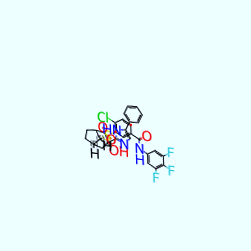 O=C(Nc1cc(F)c(F)c(F)c1)c1ccc(Cl)c(S(=O)(=O)[C@H]2C3CC[C@H]2C[C@](O)(c2ncc(-c4ccccc4)[nH]2)C3)c1